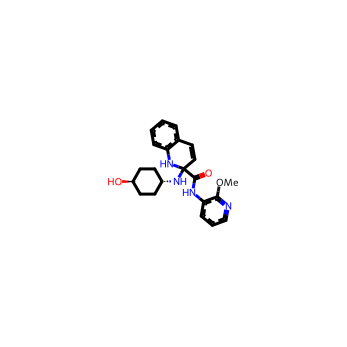 COc1ncccc1NC(=O)C1(N[C@H]2CC[C@H](O)CC2)C=Cc2ccccc2N1